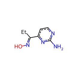 CCC(=NO)c1ccnc(N)n1